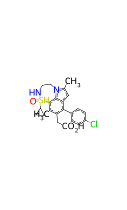 Cc1c(CC(=O)O)c(-c2ccc(Cl)cc2)c2cc(C)n3c2c1[SH](=O)(C1CC1)NCC3